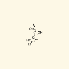 C=CC(=O)OCC(CO)OC(C)CC(O)CC